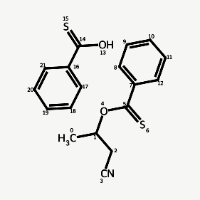 CC(CC#N)OC(=S)c1ccccc1.OC(=S)c1ccccc1